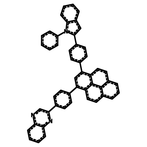 c1ccc(-n2c(-c3ccc(-c4cc(-c5ccc(-c6cnc7ccccc7n6)cc5)c5ccc6cccc7ccc4c5c67)cc3)cc3ccccc32)cc1